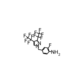 Nc1ccc(Cn2cc(C(F)(F)C(F)(F)F)c(C(F)(F)C(F)(F)F)n2)cc1F